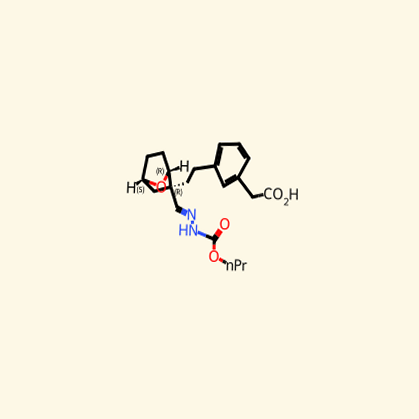 CCCOC(=O)NN=C[C@@]1(CCc2cccc(CC(=O)O)c2)C[C@@H]2CC[C@H]1O2